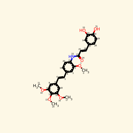 COc1cc(/C=C/c2cc(OC)c(OC)c(OC)c2)ccc1NC(=O)/C=C/c1ccc(O)c(O)c1